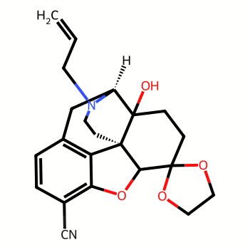 C=CCN1CC[C@@]23c4c5ccc(C#N)c4OC2C2(CCC3(O)[C@@H]1C5)OCCO2